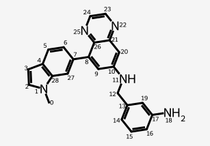 Cn1ccc2ccc(-c3cc(NCc4cccc(N)c4)cc4nccnc34)cc21